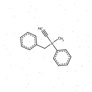 C#C[Si](C)(Cc1ccccc1)c1ccccc1